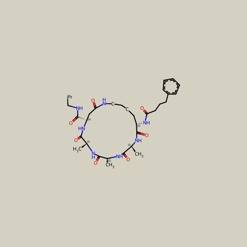 CC(C)CNC(=O)[C@@H]1CC(=O)NCCCC[C@H](NC(=O)CCCc2ccccc2)C(=O)N[C@@H](C)C(=O)N[C@@H](C)C(=O)N[C@@H](C)C(=O)N1